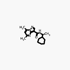 Cc1cc(C)n2ncc(C(=O)N[C@@H](C)C3CCCCC3)c2n1